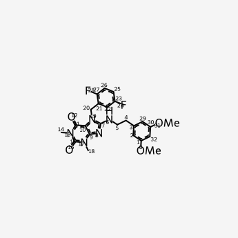 COc1cc(CCNc2nc3c(c(=O)n(C)c(=O)n3C)n2Cc2cc(F)ccc2F)cc(OC)c1